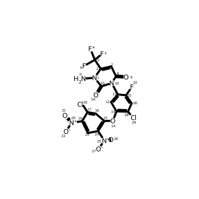 Nn1c(C(F)(F)F)cc(=O)n(-c2cc(Oc3cc(Cl)c([N+](=O)[O-])cc3[N+](=O)[O-])c(Cl)cc2F)c1=O